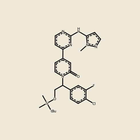 Cn1nccc1Nc1nccc(-c2ccn(C(CO[Si](C)(C)C(C)(C)C)c3ccc(Cl)c(F)c3)c(=O)c2)n1